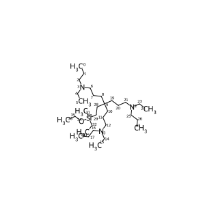 CCCN(CC)CCCC(CCCN(CC)CCC)(CCCN(CC)CCC)CC[Si](C)(CC)OCC